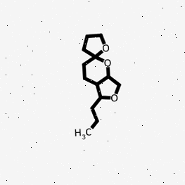 CCCC1OCC2OC3(CCCO3)CCC12